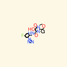 O=C(NCc1ccc(F)cc1-n1cncn1)c1nc2n(c(=O)c1O)CCOCC21CCCC1